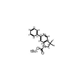 CC(C)(C)OC(=O)N1CC(C)(C)c2cnc(-c3ccccc3)cc21